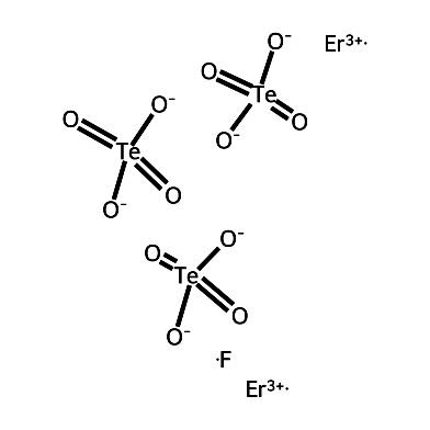 O=[Te](=O)([O-])[O-].O=[Te](=O)([O-])[O-].O=[Te](=O)([O-])[O-].[Er+3].[Er+3].[F]